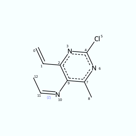 C=Cc1nc(Cl)nc(C)c1/N=C\C